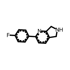 Fc1ccc(-c2ccc3c(n2)CNC3)cc1